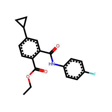 CCOC(=O)c1ccc(C2CC2)cc1C(=O)Nc1ccc(F)cc1